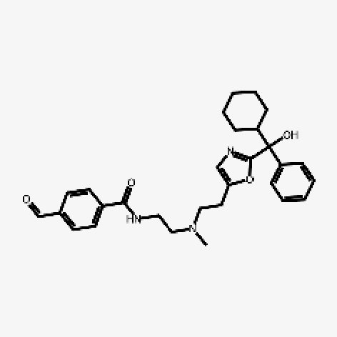 CN(CCNC(=O)c1ccc(C=O)cc1)CCc1cnc(C(O)(c2ccccc2)C2CCCCC2)o1